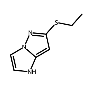 CCSc1cc2[nH]ccn2n1